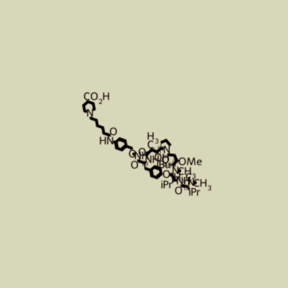 CC[C@H](C)[C@@H]([C@@H](CC(=O)N1CCC[C@H]1[C@H](O)[C@@H](C)C(=O)N[C@@H](Cc1ccccc1)C(=O)NOCc1ccc(NC(=O)CCCCCN2CCC(C(=O)O)CC2)cc1)OC)N(C)C(=O)[C@@H](NC(=O)[C@H](C(C)C)N(C)C)C(C)C